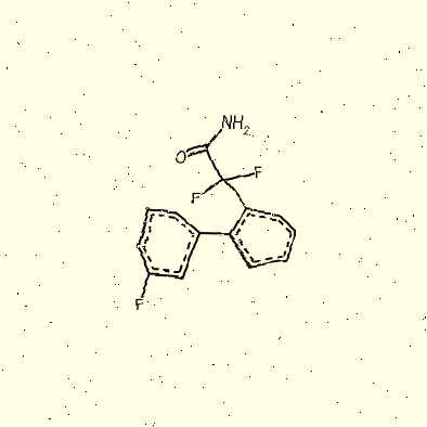 NC(=O)C(F)(F)c1ccccc1-c1cccc(F)c1